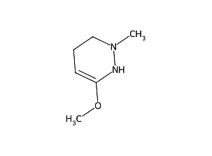 COC1=CCCN(C)N1